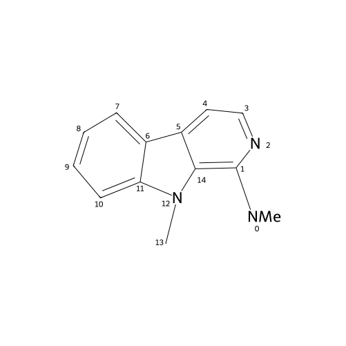 CNc1nccc2c3ccccc3n(C)c12